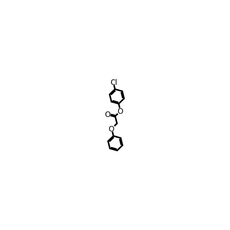 O=C(COc1ccccc1)Oc1ccc(Cl)cc1